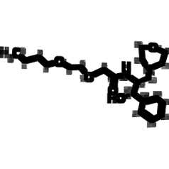 CCCCOCCOCC(=O)N[C@@H](CN1CCOCC1)[C@@H](O)c1ccccc1